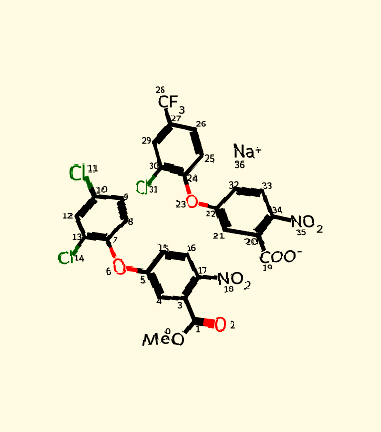 COC(=O)c1cc(Oc2ccc(Cl)cc2Cl)ccc1[N+](=O)[O-].O=C([O-])c1cc(Oc2ccc(C(F)(F)F)cc2Cl)ccc1[N+](=O)[O-].[Na+]